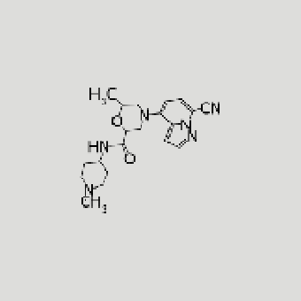 CC1CN(c2ccc(C#N)n3nccc23)CC(C(=O)NC2CCN(C)CC2)O1